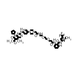 CC(=O)c1c(C)c2cnc(Nc3ccc(N4CCN(CC(=O)NCCOCCOCCC(=O)Nc5ccccc5C(=O)Nc5cc(C(F)(F)F)n(C)n5)CC4)cn3)nc2n(C2CCCC2)c1=O